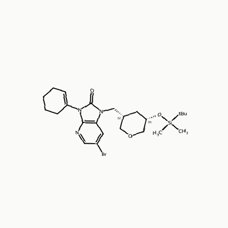 CC(C)(C)[Si](C)(C)O[C@@H]1COC[C@H](Cn2c(=O)n(C3=CCCCC3)c3ncc(Br)cc32)C1